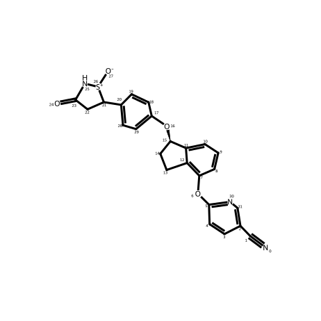 N#Cc1ccc(Oc2cccc3c2CC[C@H]3Oc2ccc(C3CC(=O)N[S+]3[O-])cc2)nc1